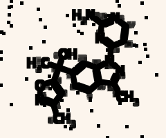 Cc1cc(C(C)(O)c2ccc3c(C)nn(-c4ccnc(N)n4)c3c2)on1